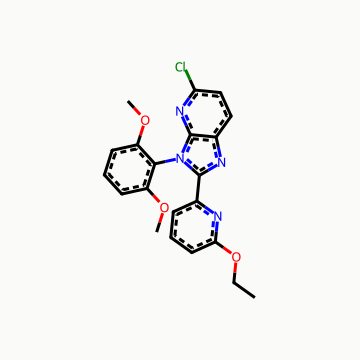 CCOc1cccc(-c2nc3ccc(Cl)nc3n2-c2c(OC)cccc2OC)n1